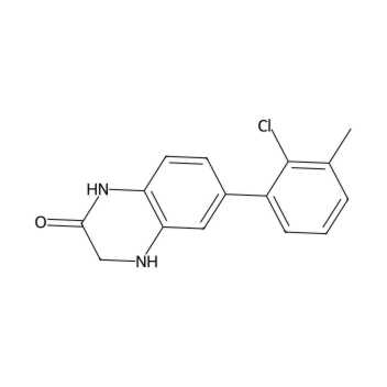 Cc1cccc(-c2ccc3c(c2)NCC(=O)N3)c1Cl